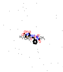 CC(=O)N(c1ccccc1CC(=O)NC1C(=O)N2[C@@H]1SC(C)(C)[C@@H]2C(=O)O)[N+](=O)[O-]